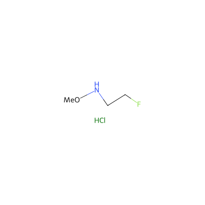 CONCCF.Cl